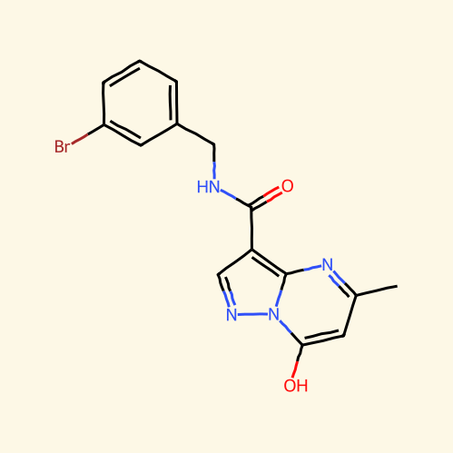 Cc1cc(O)n2ncc(C(=O)NCc3cccc(Br)c3)c2n1